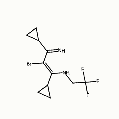 N=C(/C(Br)=C(\NCC(F)(F)F)C1CC1)C1CC1